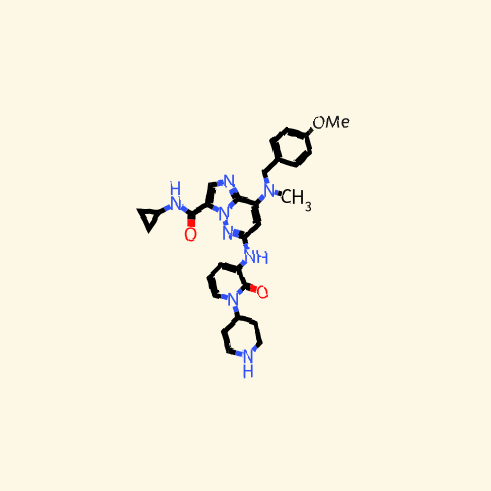 COc1ccc(CN(C)c2cc(Nc3cccn(C4CCNCC4)c3=O)nn3c(C(=O)NC4CC4)cnc23)cc1